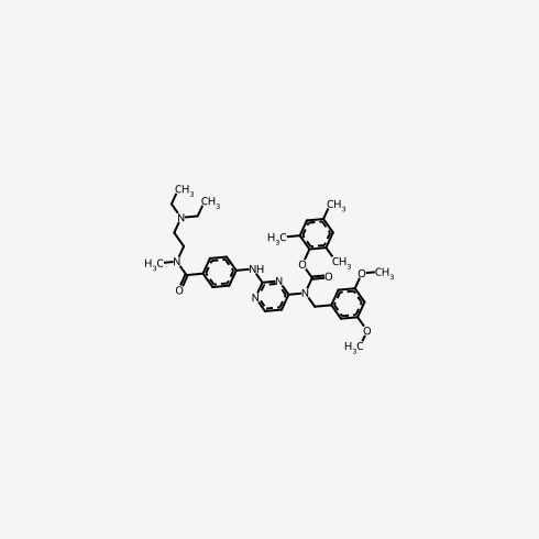 CCN(CC)CCN(C)C(=O)c1ccc(Nc2nccc(N(Cc3cc(OC)cc(OC)c3)C(=O)Oc3c(C)cc(C)cc3C)n2)cc1